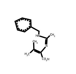 CC(C)=C(/N=C(/C)NCc1ccccc1)C(=O)O